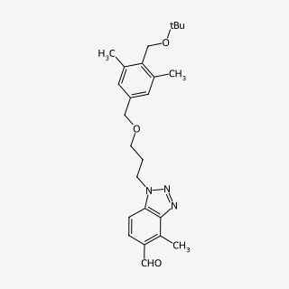 Cc1cc(COCCCn2nnc3c(C)c(C=O)ccc32)cc(C)c1COC(C)(C)C